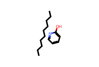 CCCCCCCCCC.Oc1ccccn1